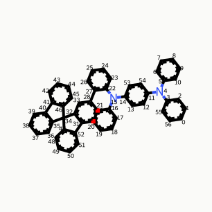 c1ccc(N(c2ccccc2)c2ccc(N(c3ccccc3)c3ccccc3-c3ccc4c(c3)C3(c5ccccc5-c5ccccc53)c3ccccc3-4)cc2)cc1